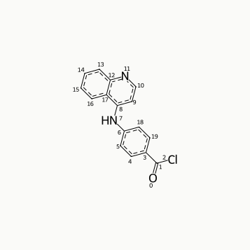 O=C(Cl)c1ccc(Nc2ccnc3ccccc23)cc1